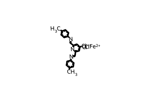 Cc1ccc(N=Cc2cc(Cl)cc(C=Nc3ccc(C)cc3)n2)cc1.[Cl-].[Cl-].[Fe+2]